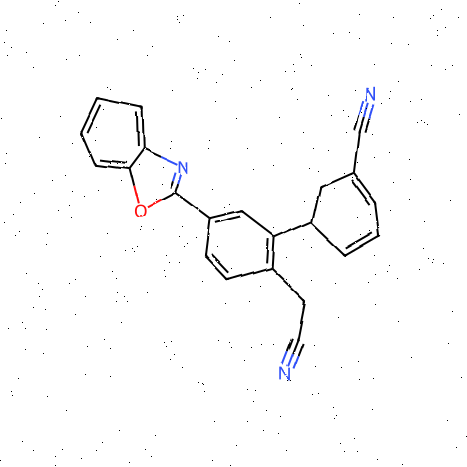 N#CCc1ccc(-c2nc3ccccc3o2)cc1C1C=CC=C(C#N)C1